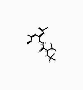 C=C/C(C)=C\C(=C/C(=C)C)CNC(=O)C(CC(C)(C)C)C(C)C